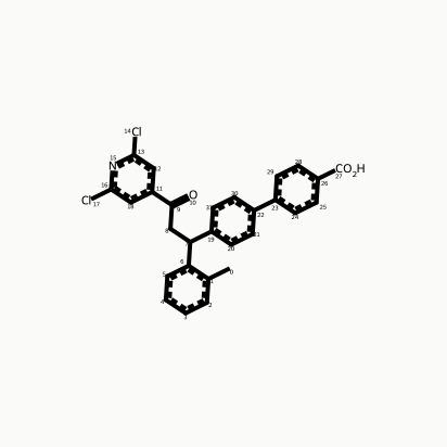 Cc1ccccc1C(CC(=O)c1cc(Cl)nc(Cl)c1)c1ccc(-c2ccc(C(=O)O)cc2)cc1